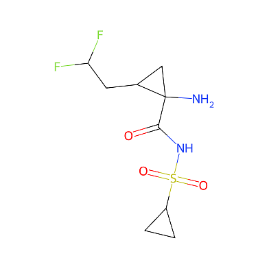 NC1(C(=O)NS(=O)(=O)C2CC2)CC1CC(F)F